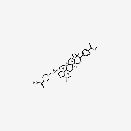 COC(=O)c1ccc(C2=CC[C@]3(C)[C@H]4CC[C@@H]5[C@H]6[C@H](C(C)C)CC[C@]6(NCCN6CCC(C(=O)O)CC6)CC[C@@]5(C)[C@]4(C)CC[C@H]3C2(C)C)cc1